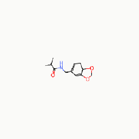 CC(C)C(=O)NCC1=CCC2OCOC2=C1